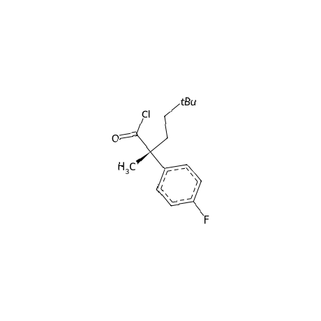 CC(C)(C)CC[C@@](C)(C(=O)Cl)c1ccc(F)cc1